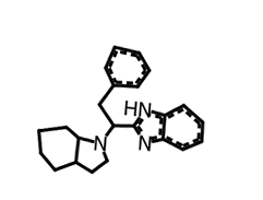 c1ccc(CC(c2nc3ccccc3[nH]2)N2CCC3CCCCC32)cc1